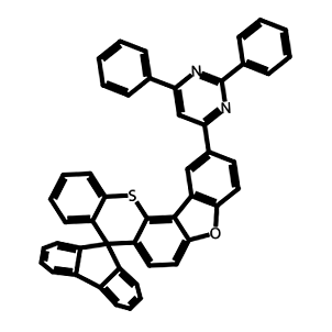 c1ccc(-c2cc(-c3ccc4oc5ccc6c(c5c4c3)Sc3ccccc3C63c4ccccc4-c4ccccc43)nc(-c3ccccc3)n2)cc1